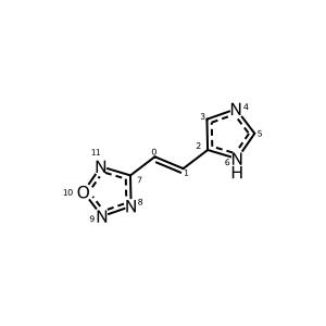 C(=Cc1cnc[nH]1)c1nnon1